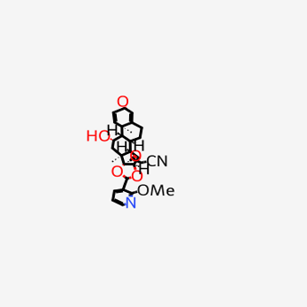 COc1ncccc1C1O[C@@H]2C[C@H]3[C@@H]4CCC5=CC(=O)C=C[C@]5(C)[C@H]4[C@@H](O)C[C@]3(C)[C@]2(C(=O)CC#N)O1